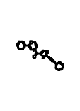 O=C(c1cnc(C#Cc2ccccc2)s1)N1C=COC(C2=CC=CCC2)=C1